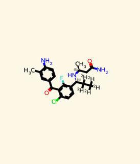 [2H]C([2H])([2H])C([2H])([2H])[C@@H](N[C@@H](C)CC(N)=O)c1ccc(Cl)c(C(=O)c2ccc(N)c(C)c2)c1F